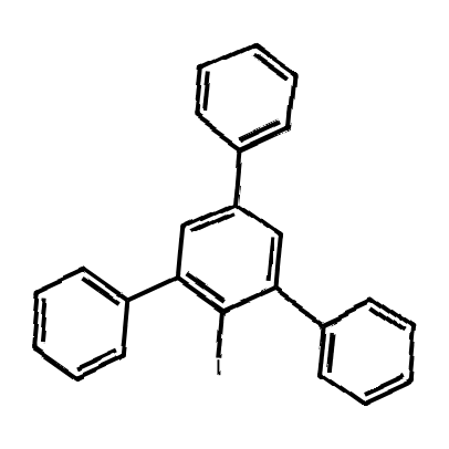 Ic1c(-c2ccccc2)cc(-c2ccccc2)cc1-c1ccccc1